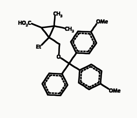 CCC1(COC(c2ccccc2)(c2ccc(OC)cc2)c2ccc(OC)cc2)C(C(=O)O)C1(C)C